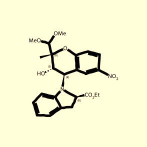 CCOC(=O)[C@H]1Cc2ccccc2N1[C@@H]1c2cc([N+](=O)[O-])ccc2O[C@@](C)(C(OC)OC)[C@H]1O